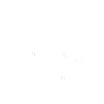 CC(C)C1N(C(C)C)C(C)(C)C(C)(C)C(C)(C)N(C)C1(C)C